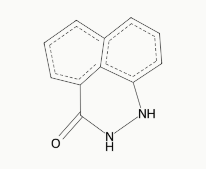 O=C1NNc2cccc3cccc1c23